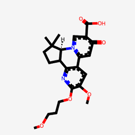 COCCCOc1nc2c(cc1OC)-c1cc(=O)c(C(=O)O)cn1[C@H]1C2CCC1(C)C